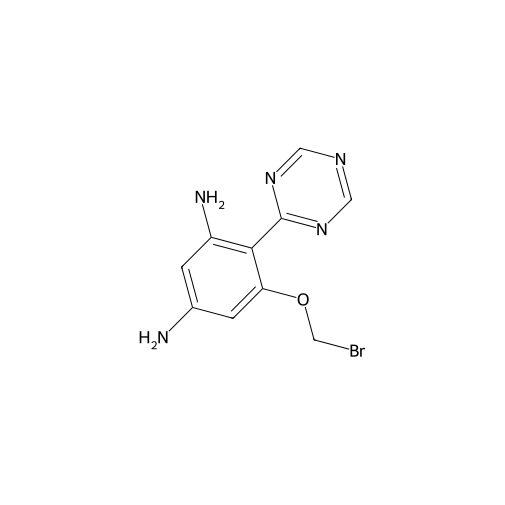 Nc1cc(N)c(-c2ncncn2)c(OCBr)c1